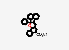 CCOC(=O)c1cc2c(c3ccccc13)OC(c1ccccc1)(c1ccccc1)C(c1ccccc1)=C2